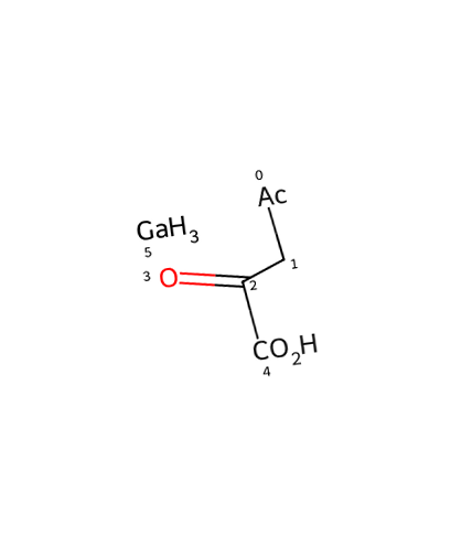 CC(=O)CC(=O)C(=O)O.[GaH3]